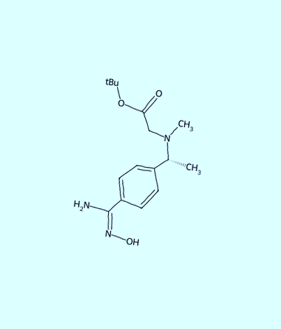 C[C@H](c1ccc(/C(N)=N\O)cc1)N(C)CC(=O)OC(C)(C)C